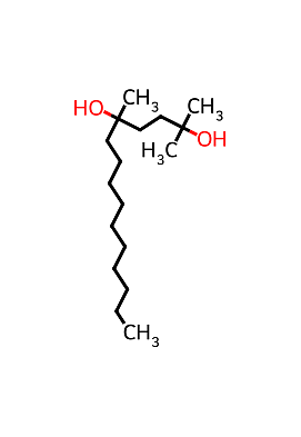 CCCCCCCCCCC(C)(O)CCC(C)(C)O